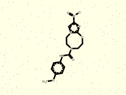 COc1ccc(NC(=O)N2CCOc3nc([N+](=O)[O-])cn3CC2)cc1